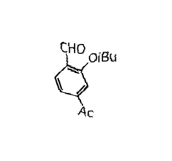 CC(=O)c1ccc(C=O)c(OCC(C)C)c1